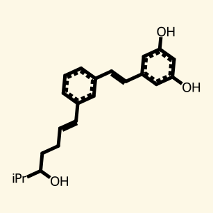 CC(C)C(O)CCC=Cc1cccc(C=Cc2cc(O)cc(O)c2)c1